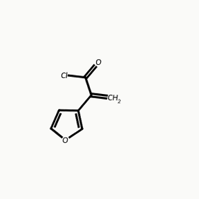 C=C(C(=O)Cl)c1ccoc1